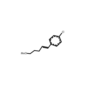 [CH2]OCCC/C=C/c1ccc(Cl)cc1